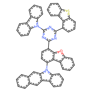 c1ccc2cc3c(cc2c1)c1ccccc1n3-c1ccc(-c2nc(-c3cccc4sc5ccccc5c34)nc(-n3c4ccccc4c4ccccc43)n2)c2oc3ccccc3c12